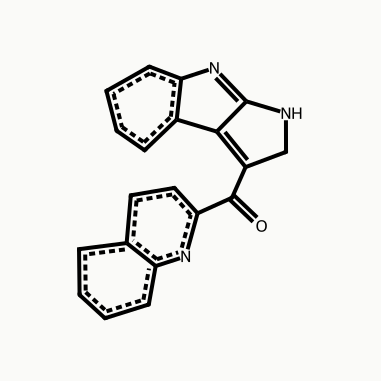 O=C(C1=C2C(=Nc3ccccc32)NC1)c1ccc2ccccc2n1